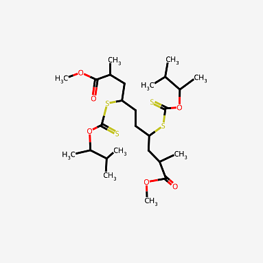 COC(=O)C(C)CC(CCC(CC(C)C(=O)OC)SC(=S)OC(C)C(C)C)SC(=S)OC(C)C(C)C